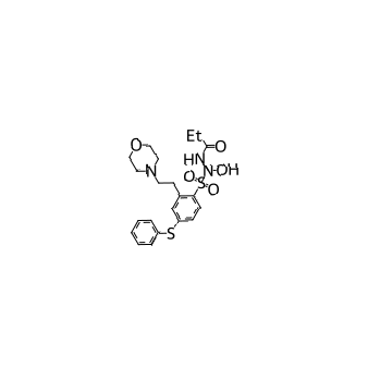 CCC(=O)NN(O)S(=O)(=O)c1ccc(Sc2ccccc2)cc1CCN1CCOCC1